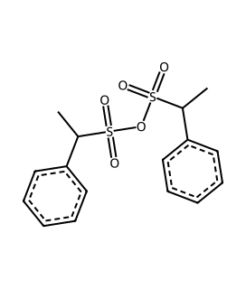 CC(c1ccccc1)S(=O)(=O)OS(=O)(=O)C(C)c1ccccc1